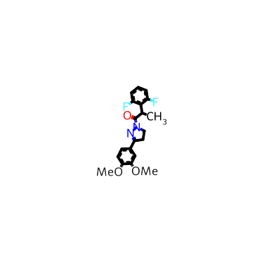 COc1ccc(C2=NN(C(=O)C(C)c3c(F)cccc3F)CC2)cc1OC